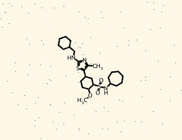 COC1CCC(c2sc(NCC3CCCCC3)nc2C)CC1S(=O)(=O)NC1CCCCCC1